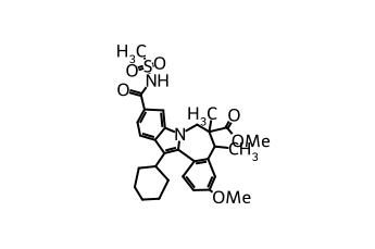 COC(=O)C1(C)Cn2c(c(C3CCCCC3)c3ccc(C(=O)NS(C)(=O)=O)cc32)-c2ccc(OC)cc2C1C